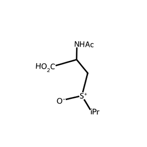 CC(=O)NC(C[S+]([O-])C(C)C)C(=O)O